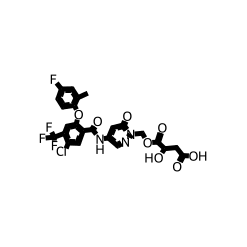 Cc1cc(F)ccc1Oc1cc(C(F)(F)F)c(Cl)cc1C(=O)Nc1cnn(COC(=O)C(O)CC(=O)O)c(=O)c1